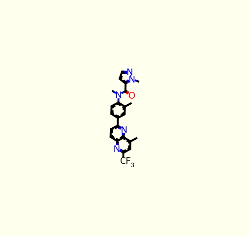 Cc1cc(-c2ccc3nc(C(F)(F)F)cc(C)c3n2)ccc1N(C)C(=O)c1ccnn1C